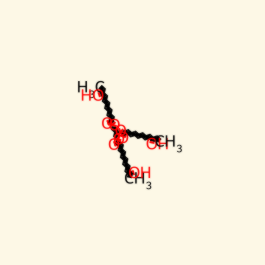 CCC(O)CCCCCCCC(=O)OCC(COC(=O)CCCCCCCCC(C)O)OC(=O)CCCCCCCC(O)CC